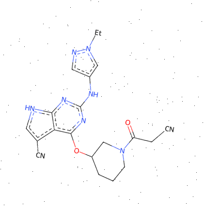 CCn1cc(Nc2nc(OC3CCCN(C(=O)CC#N)C3)c3c(C#N)c[nH]c3n2)cn1